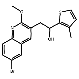 COc1nc2ccc(Br)cc2cc1CC(O)c1sccc1C